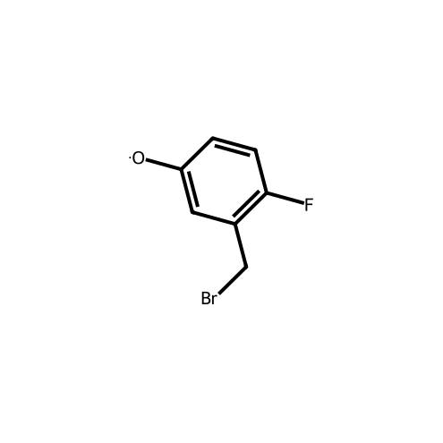 [O]c1ccc(F)c(CBr)c1